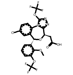 COc1c(OC(F)(F)F)cccc1[C@H]1O[C@H](CC(=O)O)c2nnc(OC(F)(F)F)n2-c2ccc(Cl)cc21